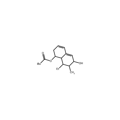 CCC(C)C(=O)OC1CC=CC2=CC(O)C(C)C(CC)C21